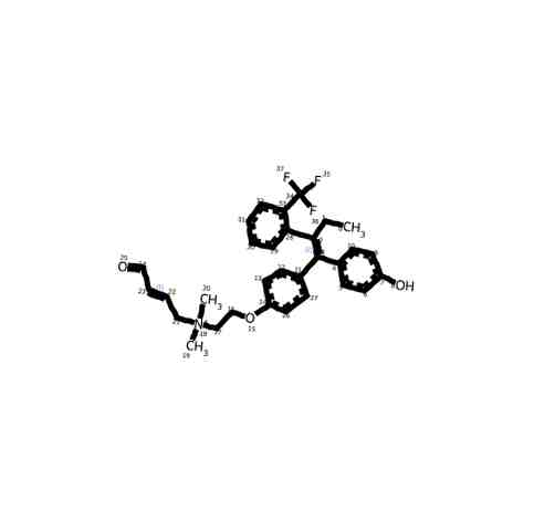 CC/C(=C(\c1ccc(O)cc1)c1ccc(OCC[N+](C)(C)C/C=C/C=O)cc1)c1ccccc1C(F)(F)F